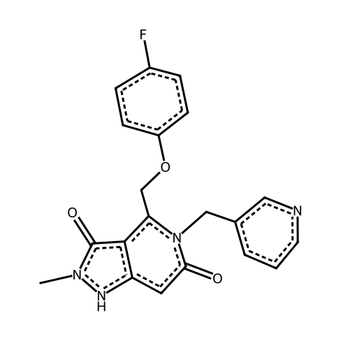 Cn1[nH]c2cc(=O)n(Cc3cccnc3)c(COc3ccc(F)cc3)c2c1=O